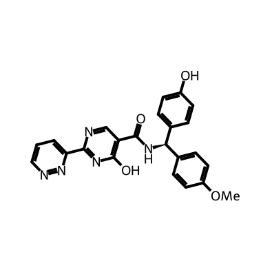 COc1ccc([C@@H](NC(=O)c2cnc(-c3cccnn3)nc2O)c2ccc(O)cc2)cc1